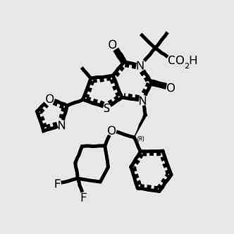 Cc1c(-c2ncco2)sc2c1c(=O)n(C(C)(C)C(=O)O)c(=O)n2C[C@H](OC1CCC(F)(F)CC1)c1ccccc1